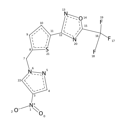 O=[N+]([O-])c1cnn(Cc2ccc(-c3noc(C(F)(F)F)n3)s2)c1